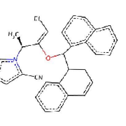 CCC=C(OC(c1cccc2ccccc12)C1CC=Cc2ccccc21)[C@H](C)n1cccc1C#N